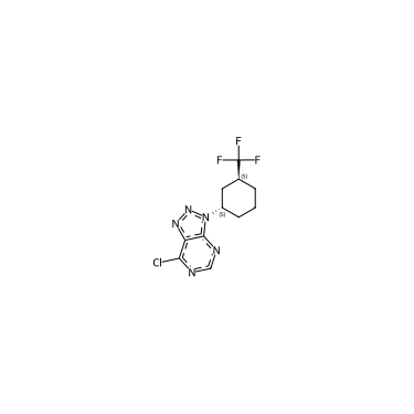 FC(F)(F)[C@H]1CCC[C@H](n2nnc3c(Cl)ncnc32)C1